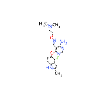 Cc1cc2c(F)c(Oc3ncnc(N)c3C=NOCCN(C)C)ccc2[nH]1